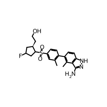 Cc1cc(S(=O)(=O)C2CC(F)C[C@H]2CCO)ccc1-c1ccc2[nH]nc(N)c2c1C